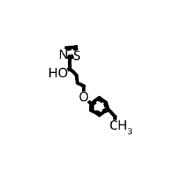 CCc1ccc(OCCCC(O)c2nccs2)cc1